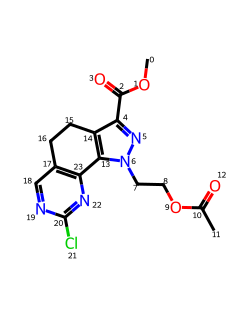 COC(=O)c1nn(CCOC(C)=O)c2c1CCc1cnc(Cl)nc1-2